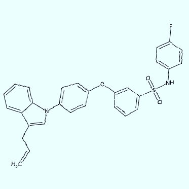 C=CCc1cn(-c2ccc(Oc3cccc(S(=O)(=O)Nc4ccc(F)cc4)c3)cc2)c2ccccc12